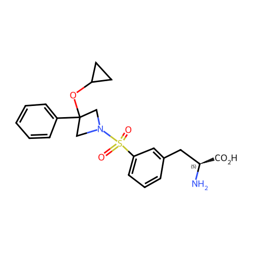 N[C@@H](Cc1cccc(S(=O)(=O)N2CC(OC3CC3)(c3ccccc3)C2)c1)C(=O)O